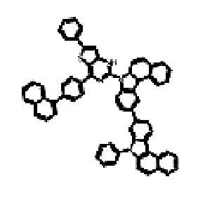 C1=CC2C(c3ccccc31)c1cc(-c3ccc4c5c6ccccc6ccc5n(-c5ccccc5)c4c3)ccc1N2C1=NC(c2ccc(-c3cccc4ccccc34)cc2)=C2SC(c3ccccc3)=CC2N1